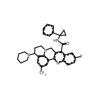 O=C(NC1(c2ccccc2)CC1)c1c(CN2CCC(N3CCCCC3)CC2)c(-c2cccc(C(F)(F)F)c2)nc2ccc(F)cc12